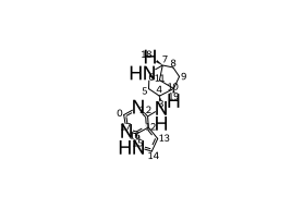 c1nc(N[C@H]2CN[C@@H]3CC[C@H]2C3)c2cc[nH]c2n1